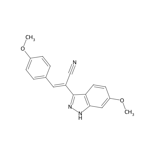 COc1ccc(C=C(C#N)c2n[nH]c3cc(OC)ccc23)cc1